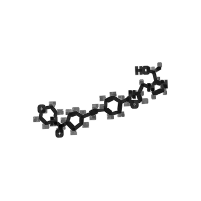 C[C@H](O)c1nccn1Cc1coc(-c2ccc(C#Cc3ccc(C(=O)N4CCOCC4)cc3)cc2)n1